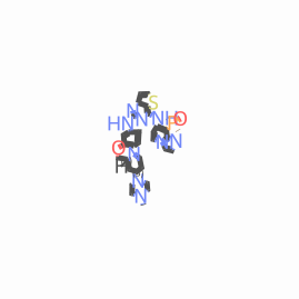 CN1CCN([C@H]2CCN3c4ccc(Nc5nc(Nc6ccn7ccnc7c6P(C)(C)=O)c6sccc6n5)cc4OC[C@H]3C2)CC1